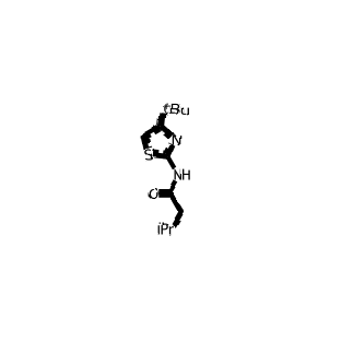 CC(C)CC(=O)Nc1nc(C(C)(C)C)cs1